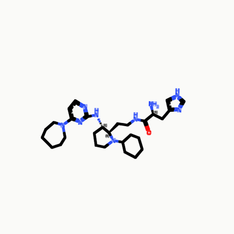 N[C@@H](Cc1c[nH]cn1)C(=O)NCC[C@@H]1[C@@H](Nc2nccc(N3CCCCCC3)n2)CCCN1C1CCCCC1